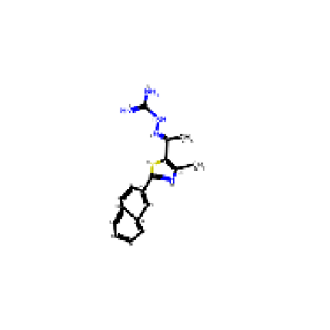 CC(=NNC(=N)N)c1sc(-c2ccc3ccccc3c2)nc1C